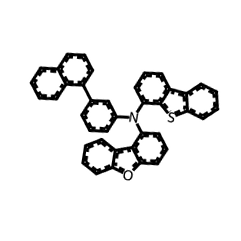 c1cc(-c2cccc3ccccc23)cc(N(c2cccc3c2sc2ccccc23)c2cccc3oc4ccccc4c23)c1